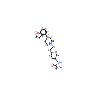 CCCC(=O)NC1CCC(CCN2CCC(c3cccc4c3CCO4)CC2)CC1